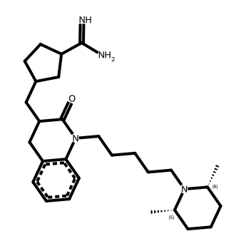 C[C@@H]1CCC[C@H](C)N1CCCCCN1C(=O)C(CC2CCC(C(=N)N)C2)Cc2ccccc21